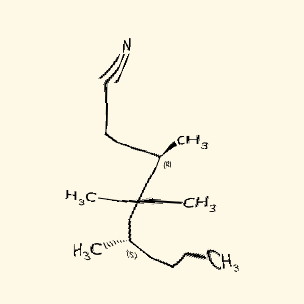 CC[C@H](C)C(C)(C)[C@H](C)CC#N